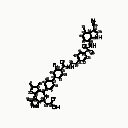 Cc1sc2c(c1C)C(c1ccc(-c3ccc(C(=O)NCCc4ccc(S(=O)(=O)Nc5ccc(C)c6c(C#N)c[nH]c56)cc4)c(F)c3)cc1)=N[C@@H](CC(=O)O)c1nnc(C)n1-2